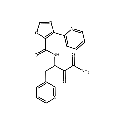 NC(=O)C(=O)C(Cc1cccnc1)NC(=O)c1ocnc1-c1ccccn1